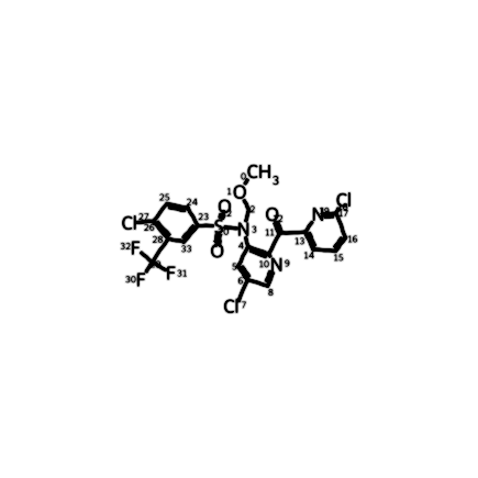 COCN(c1cc(Cl)cnc1C(=O)c1cccc(Cl)n1)S(=O)(=O)c1ccc(Cl)c(C(F)(F)F)c1